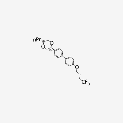 CCC[C@@H]1CO[C@@H](c2ccc(-c3ccc(OCCCC(F)(F)F)cc3)cc2)CO1